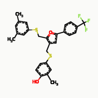 Cc1cc(C)cc(SCc2oc(-c3ccc(C(F)(F)F)cc3)cc2CSc2ccc(O)c(C)c2)c1